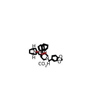 Cc1nc2ccccc2n1[C@H]1C[C@H]2CC[C@@H](C1)N2CCC1(c2ccccc2)CCN(C(C(=O)O)c2ccc3c(c2)OCO3)CC1